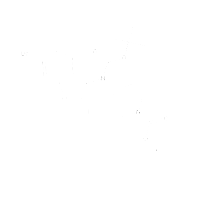 CC(C)(C)OC(=O)N1CCC(N(C(=O)OC(C)(C)C)C2c3ccc(Br)cc3OC2F)CC1